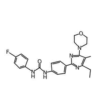 CCc1nc(-c2ccc(NC(=O)Nc3ccc(F)cc3)cc2)nc(N2CCOCC2)c1C